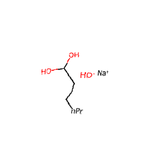 CCCCCC(O)O.[Na+].[OH-]